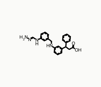 NN=CNc1cccc(CNc2cccc(C(CC(=O)O)c3ccccc3)c2)c1